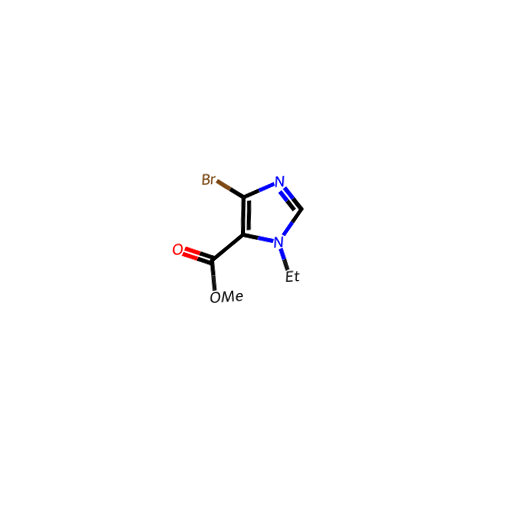 CCn1cnc(Br)c1C(=O)OC